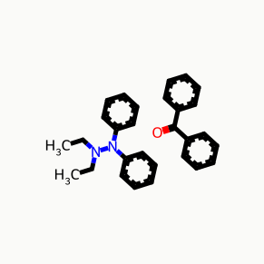 CCN(CC)N(c1ccccc1)c1ccccc1.O=C(c1ccccc1)c1ccccc1